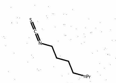 CCCCCCCN=C=S